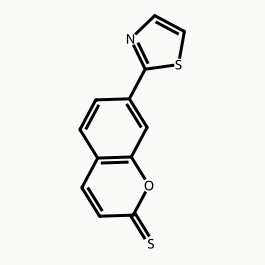 S=c1ccc2ccc(-c3nccs3)cc2o1